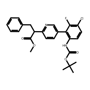 COC(=O)C(Cc1ccccc1)c1ccc(-c2c(NC(=O)OC(C)(C)C)ccc(Cl)c2F)cn1